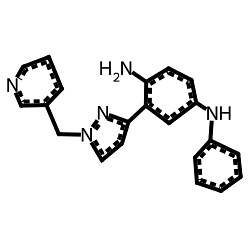 Nc1ccc(Nc2ccccc2)cc1-c1ccn(Cc2cccnc2)n1